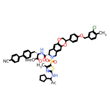 COC(=O)[C@H](Cc1ccc(-c2ccc(C#N)cc2)cc1)NC(=O)[C@@H]1Cc2cc3c(cc2CN1S(=O)(=O)c1sc(NC(C(C)=O)C2CCCC2)nc1C)OC(c1ccc(OCc2ccc(C)c(Cl)c2)cc1)CO3